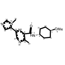 CO[C@H]1CC[C@H](NC(=O)c2nc(-c3cncn3C)cnc2C)CC1